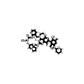 Cc1cc2c(cnn2C2CCCCO2)c(-c2nc3c4c(nc(OC[C@@]56CCCN5C[C@H](F)C6)nc4c2F)N([C@H](C)c2cccnc2NC(=O)OC(C)(C)C)CCO3)c1C(F)(F)F